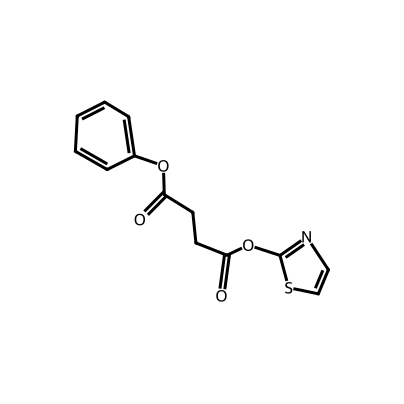 O=C(CCC(=O)Oc1nccs1)Oc1ccccc1